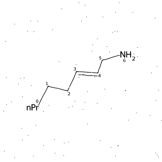 CCCCCC=CCN